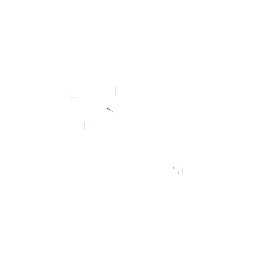 CCC(C)(C)[C@H]1CC[C@H](CN)CC1